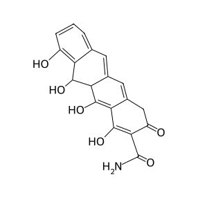 NC(=O)C1=C(O)C2=C(O)C3C(=Cc4cccc(O)c4C3O)C=C2CC1=O